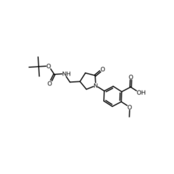 COc1ccc(N2CC(CNC(=O)OC(C)(C)C)CC2=O)cc1C(=O)O